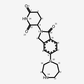 O=C1CCC(N2Cc3cc(N4CCCNCC4)ccc3C2=O)C(=O)N1